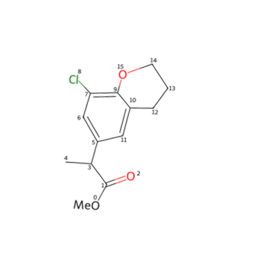 COC(=O)C(C)c1cc(Cl)c2c(c1)CCCO2